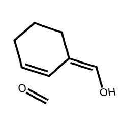 C=O.OC=C1C=CCCC1